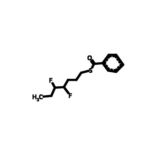 CCC(F)C(F)CCCSC(=O)c1ccccc1